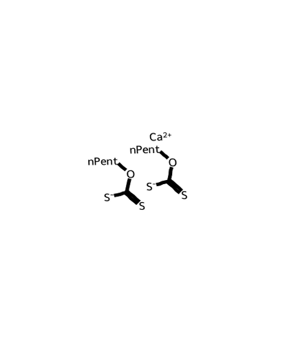 CCCCCOC(=S)[S-].CCCCCOC(=S)[S-].[Ca+2]